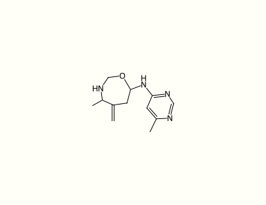 C=C1CC(Nc2cc(C)ncn2)OCNC1C